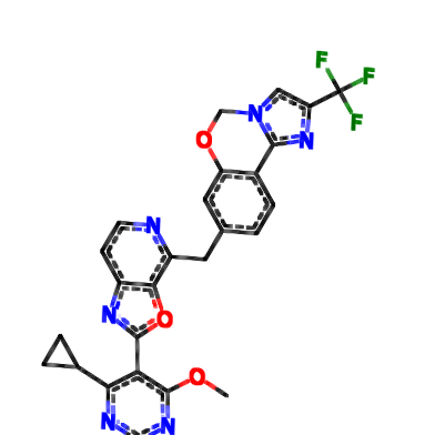 COc1ncnc(C2CC2)c1-c1nc2ccnc(Cc3ccc4c(c3)OCn3cc(C(F)(F)F)nc3-4)c2o1